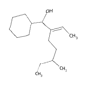 C/C=C(\CCC(C)CC)C(O)C1CCCCC1